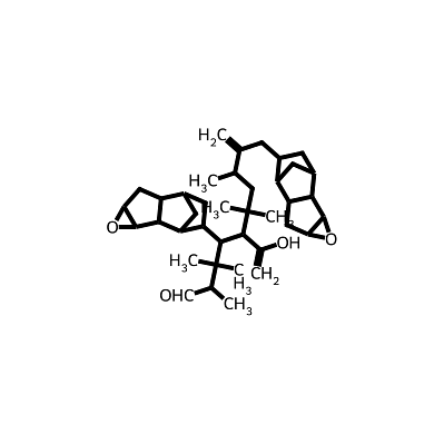 C=C(CC1CC2CC1C1CC3OC3C21)C(C)CC(C)(C)C(C(=C)O)C(C1CC2CC1C1C2CC2OC21)C(C)(C)C(C)C=O